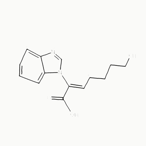 CCCCC/C=C(/C(=O)O)n1cnc2ccccc21